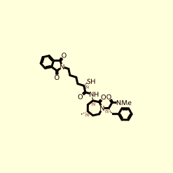 CNC(=O)[C@H](Cc1ccccc1)N1CC[C@H](C)C[C@H](NC(=O)[C@@H](S)CCCCN2C(=O)c3ccccc3C2=O)C1=O